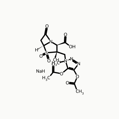 CC(=O)OC1=C(OC(C)=O)[N+](C)(C[C@@]2(C)[C@H](C(=O)O)N3C(=O)C[C@@H]3S2(=O)=O)N=N1.[NaH]